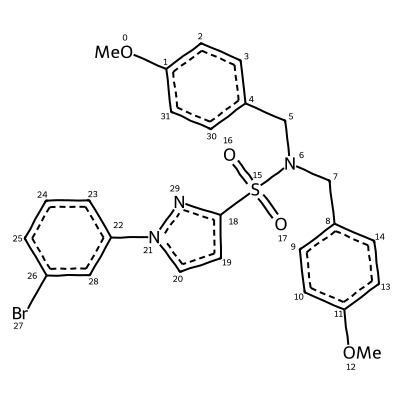 COc1ccc(CN(Cc2ccc(OC)cc2)S(=O)(=O)c2ccn(-c3cccc(Br)c3)n2)cc1